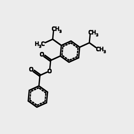 CC(C)c1ccc(C(=O)OC(=O)c2ccccc2)c(C(C)C)c1